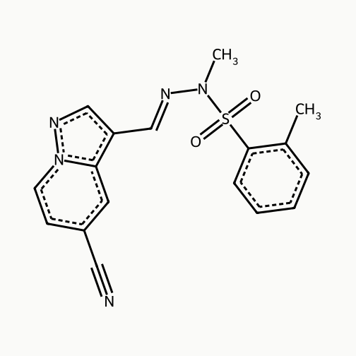 Cc1ccccc1S(=O)(=O)N(C)N=Cc1cnn2ccc(C#N)cc12